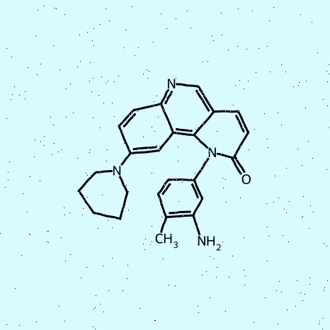 Cc1ccc(-n2c(=O)ccc3cnc4ccc(N5CCCCC5)cc4c32)cc1N